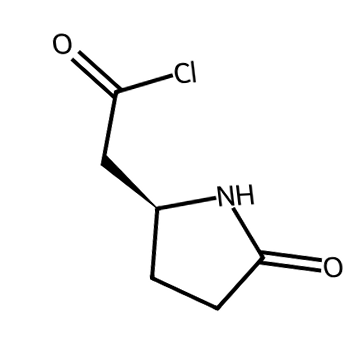 O=C(Cl)C[C@@H]1CCC(=O)N1